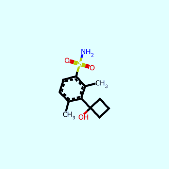 Cc1ccc(S(N)(=O)=O)c(C)c1C1(O)CCC1